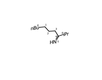 CCCCCCCC(=N)C(C)C